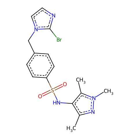 Cc1nn(C)c(C)c1NS(=O)(=O)c1ccc(Cn2ccnc2Br)cc1